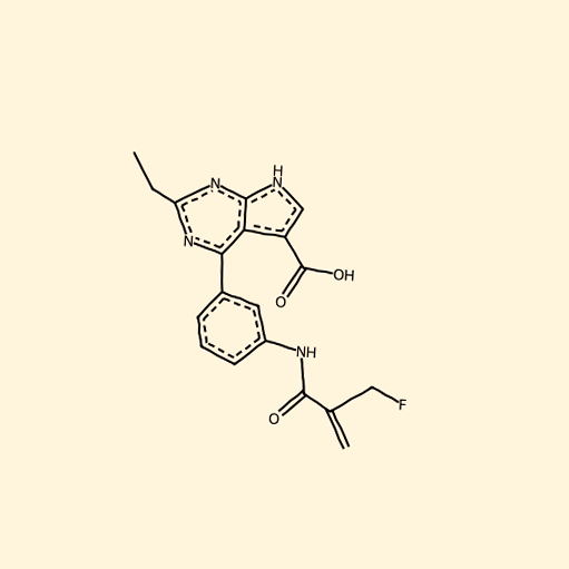 C=C(CF)C(=O)Nc1cccc(-c2nc(CC)nc3[nH]cc(C(=O)O)c23)c1